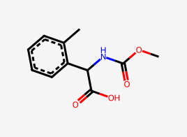 COC(=O)NC(C(=O)O)c1ccccc1C